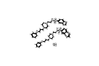 Cl.Cl.O=S(=O)(NCCN1CCN(CCCOc2ccccc2)CC1)c1ccc2ncsc2c1.O=S(=O)(NCCN1CCN(CCCOc2ccccc2)CC1)c1ccc2ncsc2c1